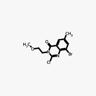 COCCn1c(Cl)nc2c(Br)cc(C)cc2c1=O